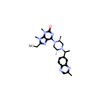 Cc1cnc2ccc(C(C)N3C[C@H](C)N(c4nc(=O)n(C)c5c4nc(CC#N)n5C)C[C@H]3C)cc2n1